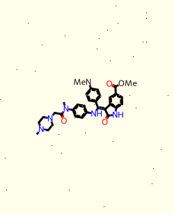 CNc1ccc(/C(Nc2ccc(N(C)C(=O)CN3CCN(C)CC3)cc2)=C2/C(=O)Nc3ccc(C(=O)OC)cc32)cc1